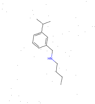 CC[CH]CNCc1cccc(C(C)C)c1